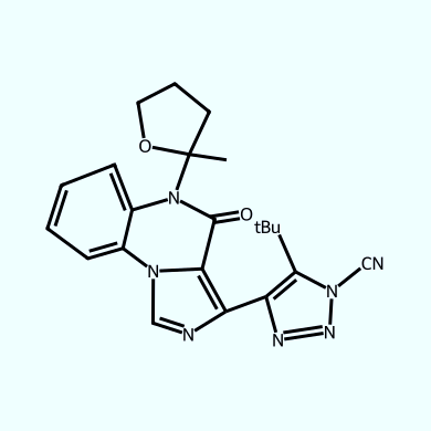 CC(C)(C)c1c(-c2ncn3c2c(=O)n(C2(C)CCCO2)c2ccccc23)nnn1C#N